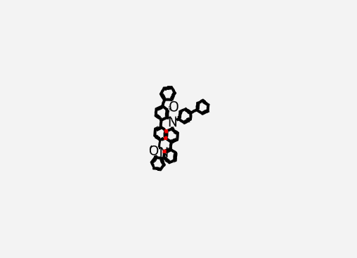 c1ccc(-c2ccc(N(c3ccc(-c4ccccc4)cc3)c3c(-c4ccc(-c5nc6ccccc6o5)cc4)ccc4c3oc3ccccc34)cc2)cc1